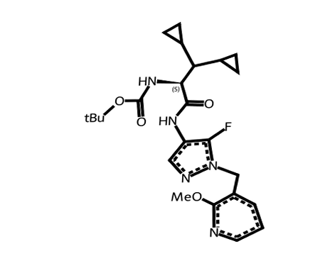 COc1ncccc1Cn1ncc(NC(=O)[C@@H](NC(=O)OC(C)(C)C)C(C2CC2)C2CC2)c1F